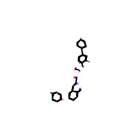 COC(=O)[C@H](Cc1ccc(-c2ccc(F)cc2)cc1Cl)NC(=O)c1cc2cc(Oc3ccc(C(F)(F)F)cc3)ccc2cn1